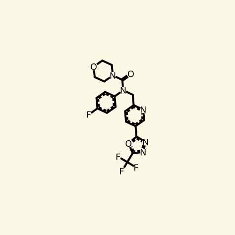 O=C(N1CCOCC1)N(Cc1ccc(-c2nnc(C(F)(F)F)o2)cn1)c1ccc(F)cc1